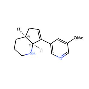 COc1cncc(C2=CC[C@@H]3CCCN[C@H]23)c1